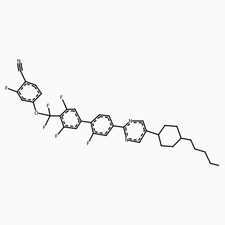 CCCCCC1CCC(c2cnc(-c3ccc(-c4cc(F)c(C(F)(F)Oc5ccc(C#N)c(F)c5)c(F)c4)c(F)c3)nc2)CC1